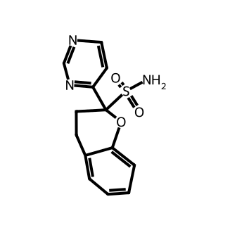 NS(=O)(=O)C1(c2ccncn2)CCc2ccccc2O1